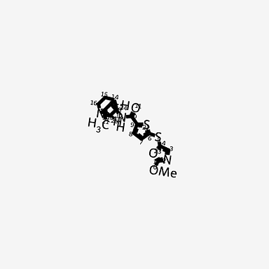 COc1ncc(Sc2ccc(C(=O)N[C@@H]3C4CCN(CC4)[C@H]3C)s2)o1